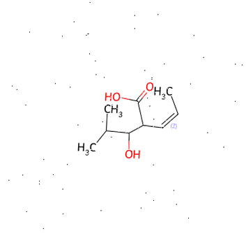 C/C=C\C(C(=O)O)C(O)C(C)C